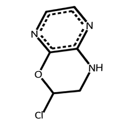 ClC1CNc2nccnc2O1